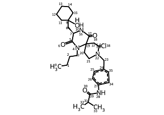 CCCCN1C(=O)[C@@H](CC2(O)CCCCC2)NC(=O)C12CCN(Cc1ccc(NC(=O)C(C)C)cc1)CC2.Cl